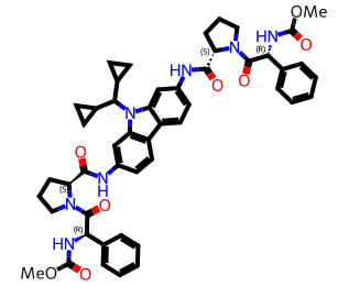 COC(=O)N[C@@H](C(=O)N1CCC[C@H]1C(=O)Nc1ccc2c3ccc(NC(=O)[C@@H]4CCCN4C(=O)[C@H](NC(=O)OC)c4ccccc4)cc3n(C(C3CC3)C3CC3)c2c1)c1ccccc1